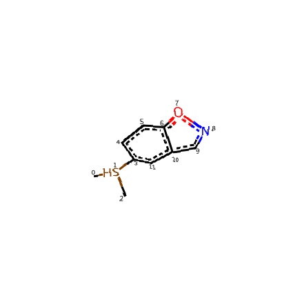 C[SH](C)c1ccc2oncc2c1